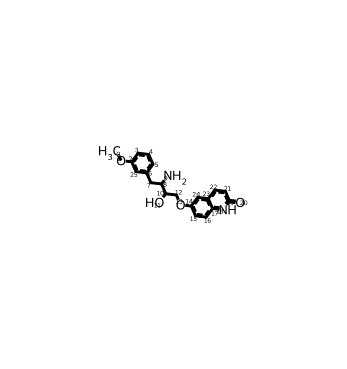 COc1cccc(CC(N)C(O)COc2ccc3[nH]c(=O)ccc3c2)c1